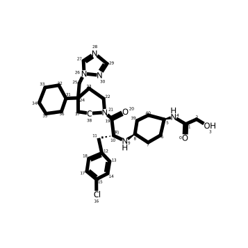 O=C(CO)N[C@H]1CC[C@@H](N[C@H](Cc2ccc(Cl)cc2)C(=O)N2CCC(Cn3cncn3)(C3CCCCC3)CC2)CC1